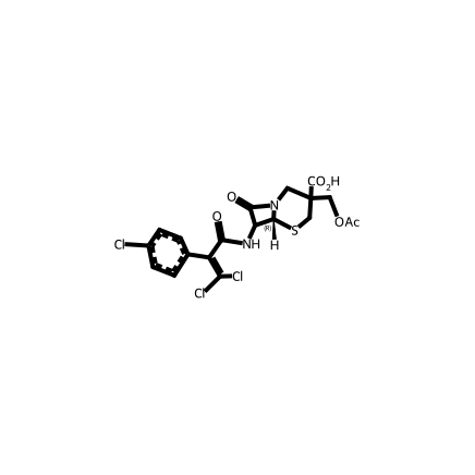 CC(=O)OCC1(C(=O)O)CS[C@@H]2C(NC(=O)C(=C(Cl)Cl)c3ccc(Cl)cc3)C(=O)N2C1